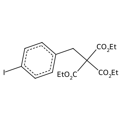 CCOC(=O)C(Cc1ccc(I)cc1)(C(=O)OCC)C(=O)OCC